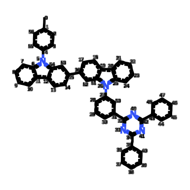 Cc1ccc(-n2c3ccccc3c3ccc(-c4ccc5c6ccccc6n(-c6cccc(-c7nc(-c8ccccc8)nc(-c8ccccc8)n7)c6)c5c4)cc32)cc1